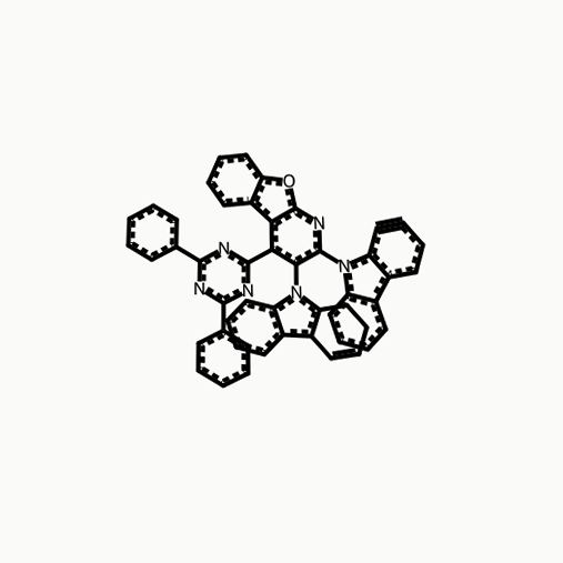 c1ccc2c3ccccc3n(-c3nc4oc5ccccc5c4c(-c4nc(-c5ccccc5)nc(-c5ccccc5)n4)c3-n3c4c(c5ccccc53)C=CCC4)c2c#1